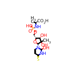 C[C@H](NP(=O)(O)OC[C@H]1O[C@@H](N2C=CC(=S)NC2O)C(C)(O)[C@H]1O)C(=O)O